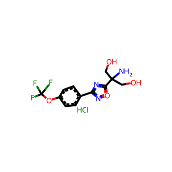 Cl.NC(CO)(CO)c1nc(-c2ccc(OC(F)(F)F)cc2)no1